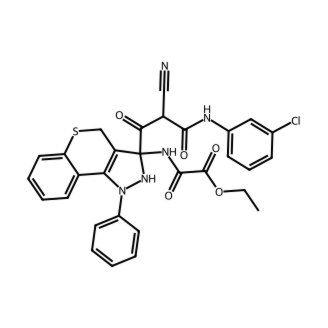 CCOC(=O)C(=O)NC1(C(=O)C(C#N)C(=O)Nc2cccc(Cl)c2)NN(c2ccccc2)C2=C1CSc1ccccc12